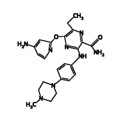 CCc1nc(C(N)=O)c(Nc2ccc(N3CCN(C)CC3)cc2)nc1Oc1cc(N)ccn1